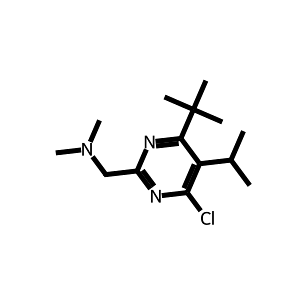 CC(C)c1c(Cl)nc(CN(C)C)nc1C(C)(C)C